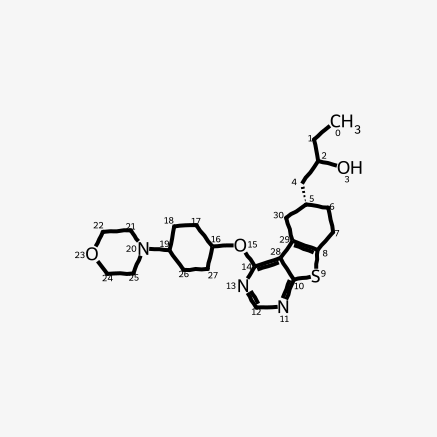 CCC(O)C[C@@H]1CCc2sc3ncnc(OC4CCC(N5CCOCC5)CC4)c3c2C1